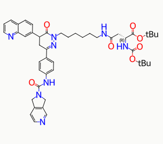 CC(C)(C)OC(=O)N[C@H](CC(=O)NCCCCCCN1N=C(c2ccc(NC(=O)N3Cc4ccncc4C3)cc2)CC(c2ccc3cccnc3c2)C1=O)C(=O)OC(C)(C)C